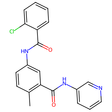 Cc1ccc(NC(=O)c2ccccc2Cl)cc1C(=O)Nc1cccnc1